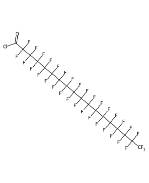 O=C(Cl)C(F)(F)C(F)(F)C(F)(F)C(F)(F)C(F)(F)C(F)(F)C(F)(F)C(F)(F)C(F)(F)C(F)(F)C(F)(F)C(F)(F)C(F)(F)C(F)(F)C(F)(F)C(F)(F)C(F)(F)F